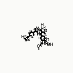 COCCOC1(C(=O)NO)CCC(c2nc3c(-c4ccc(-c5ncc[nH]5)nc4)cnn3c(N)c2C(C)=O)CC1